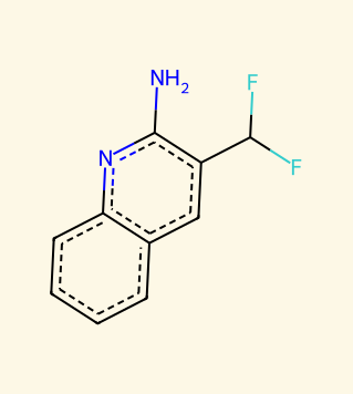 Nc1nc2ccccc2cc1C(F)F